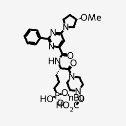 CCCCOP(=O)(O)CCC[C@H](NC(=O)c1cc(N2CC[C@H](OC)C2)nc(-c2ccccc2)n1)C(=O)N1CCN(OC(=O)O)CC1